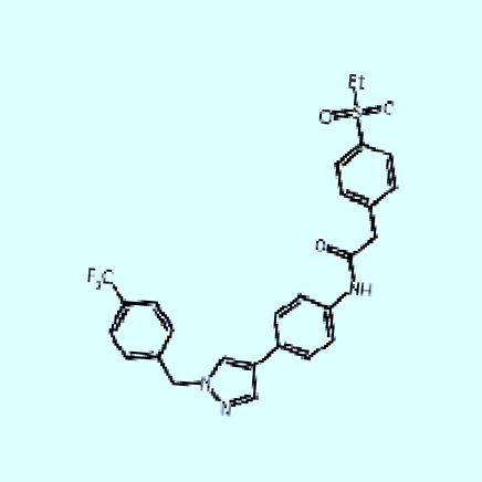 CCS(=O)(=O)c1ccc(CC(=O)Nc2ccc(-c3cnn(Cc4ccc(C(F)(F)F)cc4)c3)cc2)cc1